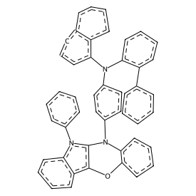 c1ccc(-c2ccccc2N(c2ccc(N3c4ccccc4Oc4c3n(-c3ccccc3)c3ccccc43)cc2)c2cccc3ccccc23)cc1